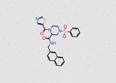 O=C(NCc1ccc2ccccc2c1)C1CN(S(=O)(=O)c2ccccc2)CCN1C(=O)c1cncs1